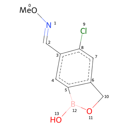 CON=Cc1cc2c(cc1Cl)COB2O